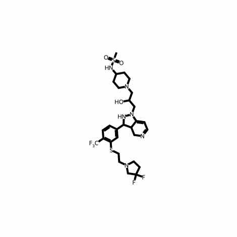 CS(=O)(=O)NC1CCN(CC(O)CN2NC(c3ccc(C(F)(F)F)c(SCCN4CCC(F)(F)C4)c3)C3CN=CC=C32)CC1